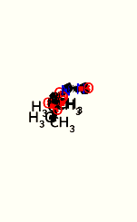 CO[C@H]1[C@H](C(C)(C)OCC=C(C)C)[C@]2(CC[C@H]1OC(=O)N1CC[C@H](CCN3CCOCC3)C1)CO2